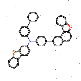 c1ccc(-c2cccc(N(c3ccc(-c4ccc5ccc6oc7ccccc7c6c5c4)cc3)c3ccc4c(c3)sc3ccccc34)c2)cc1